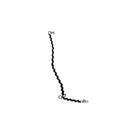 CCCCC=CCCCCCCCC(=O)OCCCCCCCCCCCCCCCCCCCCCCCCCCCCCCCCCO